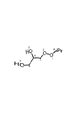 CC(C)OOCC(O)CO